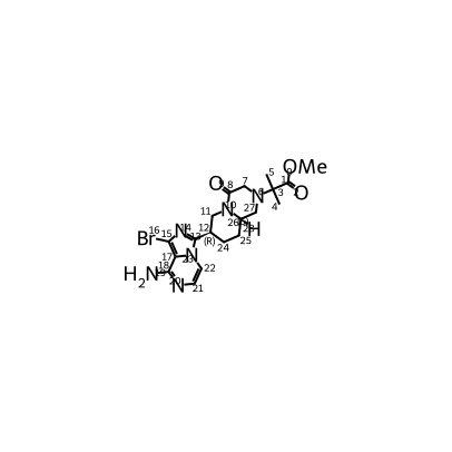 COC(=O)C(C)(C)N1CC(=O)N2C[C@H](c3nc(Br)c4c(N)nccn34)CC[C@H]2C1